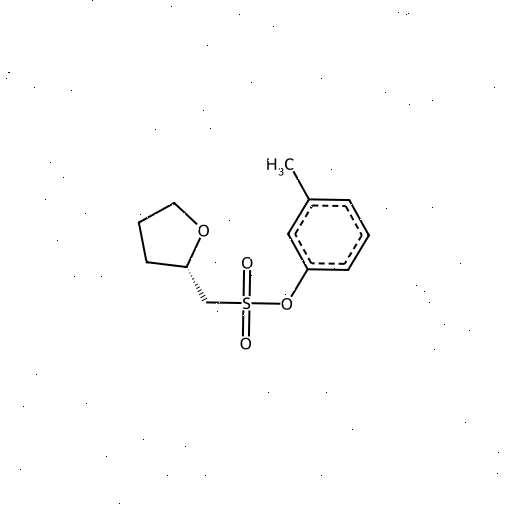 Cc1cccc(OS(=O)(=O)C[C@@H]2CCCO2)c1